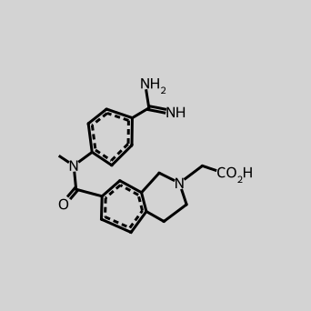 CN(C(=O)c1ccc2c(c1)CN(CC(=O)O)CC2)c1ccc(C(=N)N)cc1